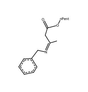 CCCCCOC(=O)CC(C)=NCc1ccccc1